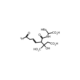 [2H]C(=O)C/C=C/C(C(=O)N[CH]([RaH])C(=O)O)C(O)(CC(=O)O)C(=O)O